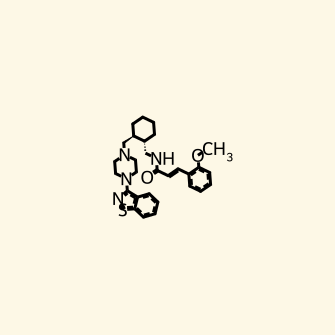 COc1ccccc1/C=C/C(=O)NC[C@H]1CCCC[C@@H]1CN1CCN(c2nsc3ccccc23)CC1